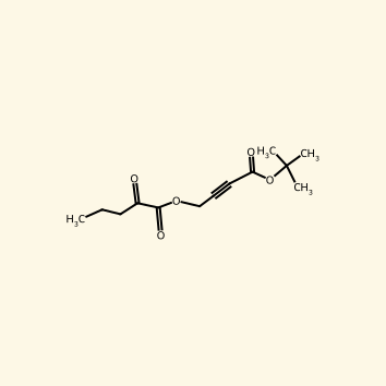 CCCC(=O)C(=O)OCC#CC(=O)OC(C)(C)C